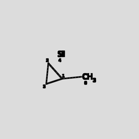 CC1CC1.[Si]